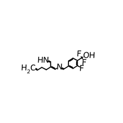 C=CCC/C(C=N)=C/N=C/c1ccc(C(O)(F)F)c(F)c1